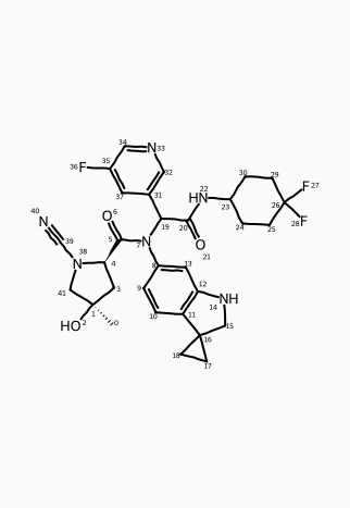 C[C@@]1(O)C[C@H](C(=O)N(c2ccc3c(c2)NCC32CC2)C(C(=O)NC2CCC(F)(F)CC2)c2cncc(F)c2)N(C#N)C1